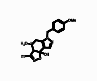 CCC1=NOC2(O)c3cnn(Cc4ccc(OC)cc4)c3C[C@H](C)C12